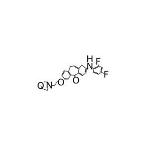 O=C1C2=CC=C(Nc3ccc(F)cc3F)CC2=CCc2ccc(OCCN3CCOCC3)cc21